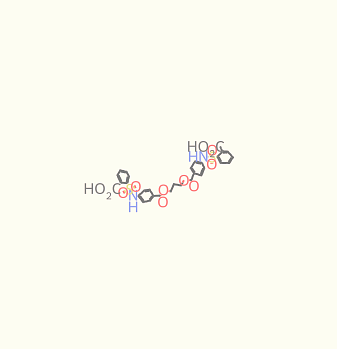 O=C(OCCCOC(=O)c1ccc(NS(=O)(=O)c2ccccc2C(=O)O)cc1)c1ccc(NS(=O)(=O)c2ccccc2C(=O)O)cc1